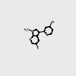 CC(C)c1ccnc(-c2cn(C)c3ncc(F)cc23)c1